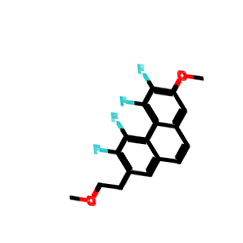 COCCc1cc2ccc3cc(OC)c(F)c(F)c3c2c(F)c1F